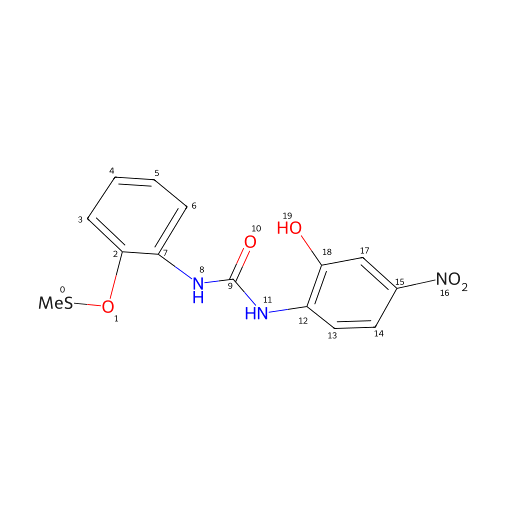 CSOc1ccccc1NC(=O)Nc1ccc([N+](=O)[O-])cc1O